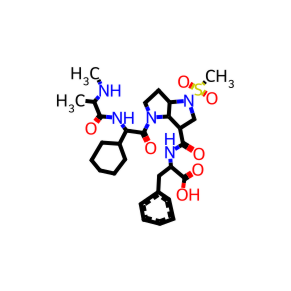 CNC(C)C(=O)NC(C(=O)N1CCC2C1C(C(=O)NC(Cc1ccccc1)C(=O)O)CN2S(C)(=O)=O)C1CCCCC1